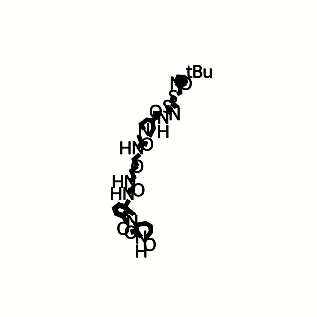 CC(C)(C)c1cnc(CSc2cnc(NC(=O)C3CCN(CC(=O)NCCOCCNC(=O)NCc4cccc5c4CN([C@H]4CCCC(=O)NC4=O)C5=O)CC3)s2)o1